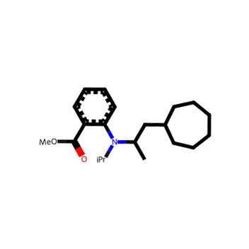 COC(=O)c1ccccc1N(C(C)C)C(C)CC1CCCCCC1